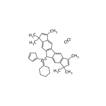 CC1=CC(C)(C)c2cc3c(cc21)-c1cc2c(cc1[CH]3[Zr+2]([C]1=CC=CC1)=[C]1CCCCC1)C(C)(C)C=C2C.[Cl-].[Cl-]